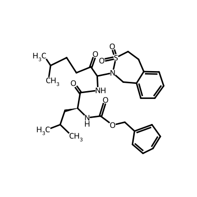 CC(C)CCC(=O)C(NC(=O)[C@H](CC(C)C)NC(=O)OCc1ccccc1)N1Cc2ccccc2CCS1(=O)=O